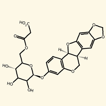 O=C(O)CC(=O)OCC1O[C@@H](Oc2ccc3c(c2)OC[C@@H]2c4cc5c(cc4O[C@H]32)OCO5)C(O)C(O)[C@@H]1O